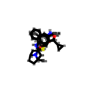 COc1cc(C(=O)O)cc2sc(N3C4CC[C@H]3CC(OCc3c(-c5ccccc5C)noc3C3CC3)C4)nc12